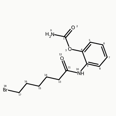 NC(=O)Oc1ccccc1NC(=O)CCCCCBr